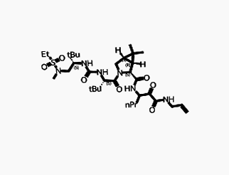 C=CCNC(=O)C(=O)C(CCC)NC(=O)[C@@H]1[C@@H]2[C@H](CN1C(=O)[C@@H](NC(=O)N[C@H](CN(C)S(=O)(=O)CC)C(C)(C)C)C(C)(C)C)C2(C)C